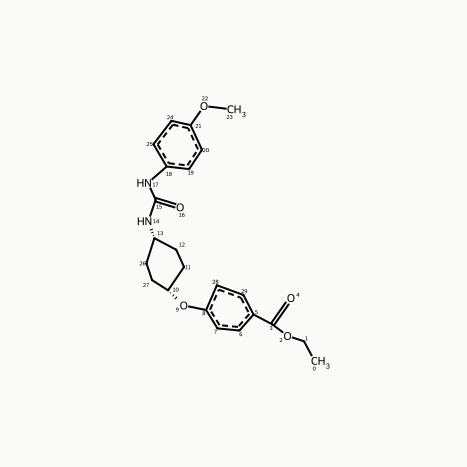 CCOC(=O)c1ccc(O[C@H]2CC[C@@H](NC(=O)Nc3ccc(OC)cc3)CC2)cc1